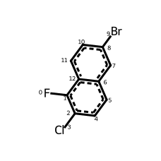 Fc1c(Cl)ccc2cc(Br)ccc12